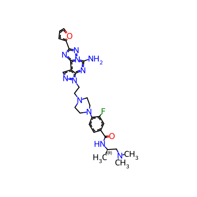 C[C@H](CN(C)C)NC(=O)c1ccc(N2CCN(CCn3ncc4c3nc(N)n3nc(-c5ccco5)nc43)CC2)c(F)c1